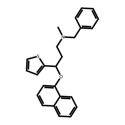 CN(CCC(Oc1cccc2ccccc12)c1cccs1)Cc1ccccc1